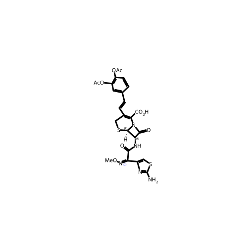 CO/N=C(\C(=O)N[C@@H]1C(=O)N2C(C(=O)O)=C(C=Cc3ccc(OC(C)=O)c(OC(C)=O)c3)CS[C@H]12)c1csc(N)n1